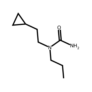 CCCN(CCC1CC1)C(N)=O